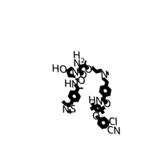 Cc1ncsc1-c1ccc([C@H](C)NC(=O)[C@@H]2C[C@@H](O)CN2C(=O)[C@@H](N)[C@@H](C)OCCCN(C)CCc2ccc(C(=O)NC3C(C)(C)C(Oc4ccc(C#N)c(Cl)c4)C3(C)C)cc2)cc1